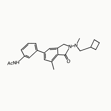 CC(=O)Nc1cccc(-c2cc(C)c3c(c2)CN(N(C)CC2CCC2)C3=O)c1